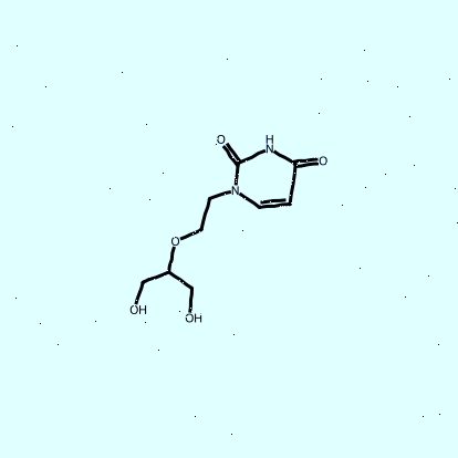 O=c1ccn(CCOC(CO)CO)c(=O)[nH]1